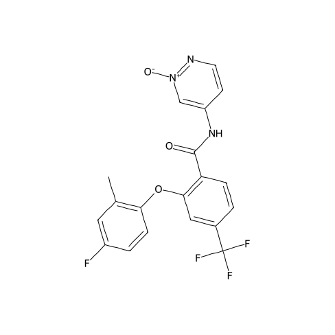 Cc1cc(F)ccc1Oc1cc(C(F)(F)F)ccc1C(=O)Nc1ccn[n+]([O-])c1